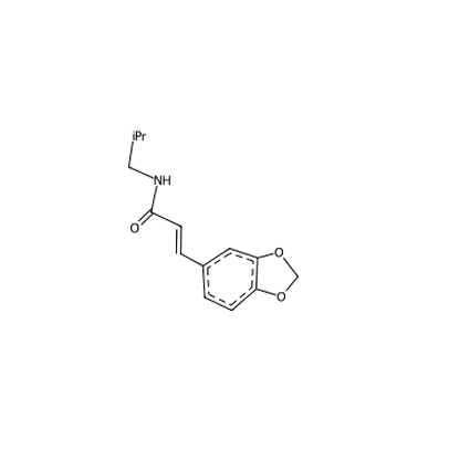 CC(C)CNC(=O)C=Cc1ccc2c(c1)OCO2